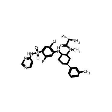 CC(C)[C@H](N)C(=O)N(C)C1C[C@@H](c2cccc(C(F)(F)F)c2)CCC1Nc1cc(F)c(S(=O)(=O)Nc2ccncn2)cc1Cl